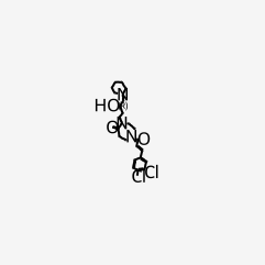 O=C(C=Cc1ccc(Cl)c(Cl)c1)N1CCC(=O)N(CC[C@@H](O)CN2CCCCC2)CC1